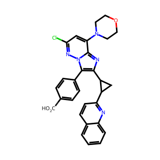 O=C(O)c1ccc(-c2c(C3CC3c3ccc4ccccc4n3)nc3c(N4CCOCC4)cc(Cl)nn23)cc1